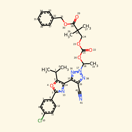 CC(C)c1oc(-c2ccc(Cl)cc2)nc1-c1nn(C(C)OC(=O)OCC(C)(C)C(=O)OCc2ccccc2)nc1C#N